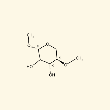 CO[C@@H]1OC[C@@H](OC)[C@H](O)C1O